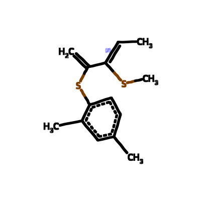 C=C(Sc1ccc(C)cc1C)/C(=C/C)SC